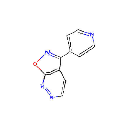 c1cc(-c2noc3nnccc23)ccn1